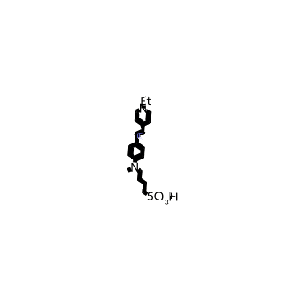 CCN1C=CC(/C=C/c2ccc(N(C)CCCCS(=O)(=O)O)cc2)=CC1